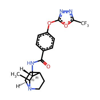 C[C@H]1[C@H](NC(=O)c2ccc(Oc3nnc(C(F)(F)F)o3)cc2)C2CCN1CC2